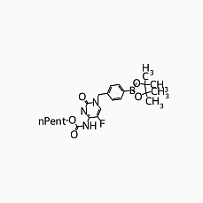 CCCCCOC(=O)Nc1nc(=O)n(Cc2ccc(B3OC(C)(C)C(C)(C)O3)cc2)cc1F